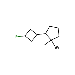 CC(C)C1(C)CCCC1C1CC(F)C1